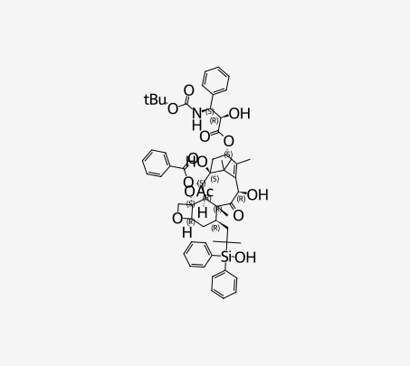 CC(=O)O[C@@]12CO[C@@H]1C[C@H](CC(C)(C)[Si](O)(c1ccccc1)c1ccccc1)[C@@]1(C)C(=O)[C@H](O)C3=C(C)[C@@H](OC(=O)[C@H](O)[C@@H](NC(=O)OC(C)(C)C)c4ccccc4)C[C@@](O)([C@@H](OC(=O)c4ccccc4)[C@H]21)C3(C)C